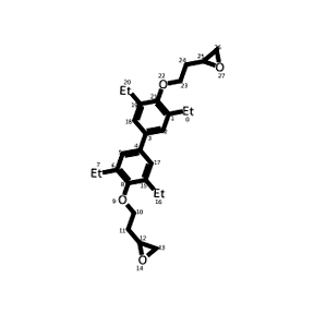 CCc1cc(-c2cc(CC)c(OCCC3CO3)c(CC)c2)cc(CC)c1OCCC1CO1